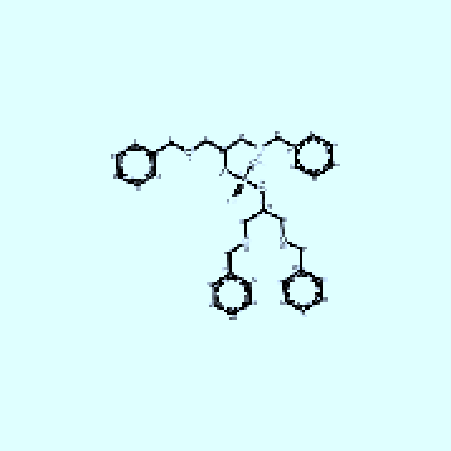 CP(=O)(OC(COCc1ccccc1)COCc1ccccc1)OC(COCc1ccccc1)COCc1ccccc1